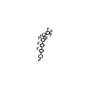 C=CC1CCC(c2ccc(-c3ccc(-c4cc(F)c(C(F)(F)Oc5cc(F)c(F)c(F)c5)c(F)c4)c(F)c3)c(F)c2)CC1